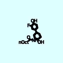 CCCCCCCCC(=O)Nc1cc(-c2ccc(O)c(F)c2)ccc1O